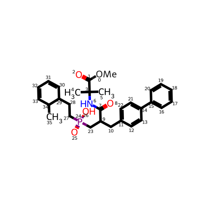 COC(=O)C(C)(C)NC(=O)C(Cc1ccc(-c2ccccc2)cc1)CP(=O)(O)CCC1C=CC=CC1C